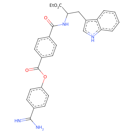 CCOC(=O)C(Cc1c[nH]c2ccccc12)NC(=O)c1ccc(C(=O)Oc2ccc(C(=N)N)cc2)cc1